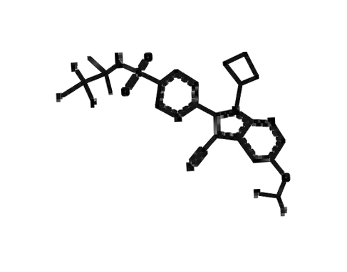 CC(C)(NS(=O)(=O)c1ccc(-c2c(C#N)c3cc(OC(F)F)cnc3n2C2CCC2)nc1)C(F)(F)F